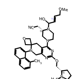 COC/C=C/C(O)N1CCN(c2nc(OC[C@@H]3CCCN3C)nc3c2CC2(COC2)N(c2cccc4cccc(C)c24)C3)C[C@@H]1CC#N